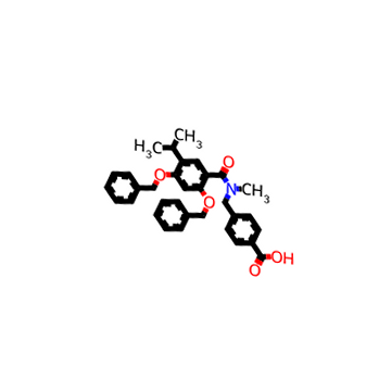 CC(C)c1cc(C(=O)N(C)Cc2ccc(C(=O)O)cc2)c(OCc2ccccc2)cc1OCc1ccccc1